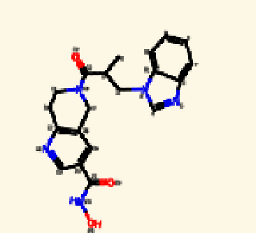 CC(Cn1cnc2ccccc21)C(=O)N1CCc2ncc(C(=O)NO)cc2C1